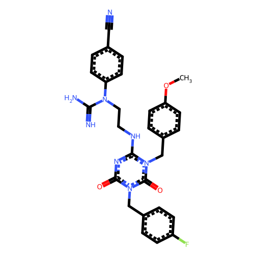 COc1ccc(Cn2c(NCCN(C(=N)N)c3ccc(C#N)cc3)nc(=O)n(Cc3ccc(F)cc3)c2=O)cc1